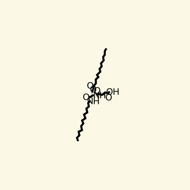 CCCCCCCCCCCCCCNC(=O)[C@H](COC(=O)CCCCCCCCCCCCC)NC(=O)CCC(=O)O